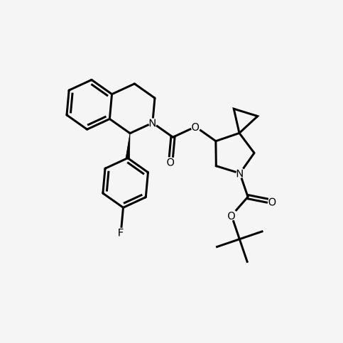 CC(C)(C)OC(=O)N1CC(OC(=O)N2CCc3ccccc3[C@@H]2c2ccc(F)cc2)C2(CC2)C1